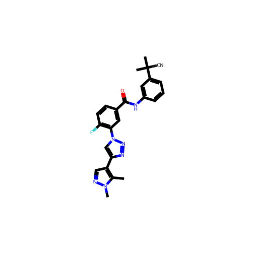 Cc1c(-c2cn(-c3cc(C(=O)Nc4cccc(C(C)(C)C#N)c4)ccc3F)nn2)cnn1C